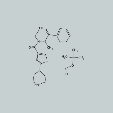 CC(C)(C)OC=O.CCN(C(=O)c1csc(C2CCNCC2)n1)C(C)C(=O)c1ccccc1